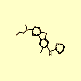 CCCN(C)c1ccc2c(c1)-c1cc(C)c(Nc3ccccc3)cc1C2